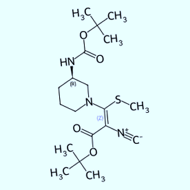 [C-]#[N+]/C(C(=O)OC(C)(C)C)=C(\SC)N1CCC[C@@H](NC(=O)OC(C)(C)C)C1